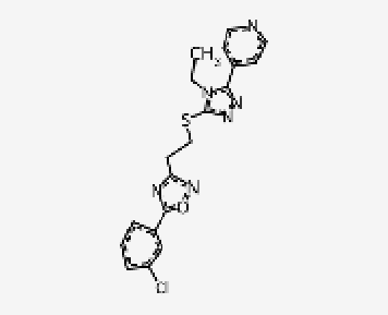 CCn1c(SCCc2noc(-c3cccc(Cl)c3)n2)nnc1-c1ccncc1